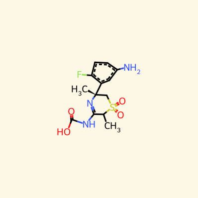 CC1C(NC(=O)O)=N[C@](C)(c2cc(N)ccc2F)CS1(=O)=O